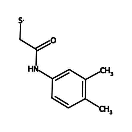 Cc1ccc(NC(=O)C[S])cc1C